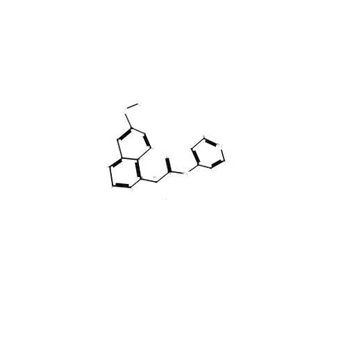 COc1ccc2c([C@@H](C)C(=O)Nc3ccncc3)cccc2c1